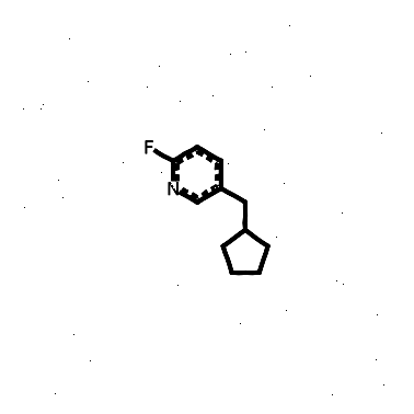 Fc1ccc(CC2CCCC2)cn1